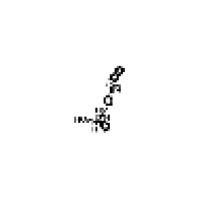 O=S(=O)(NC[C@H]1CC[C@H](CNc2nc(NCCO)c3ccccc3n2)CC1)c1ccc2ccccc2c1